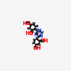 Oc1ccc(-c2ncnc(-c3ccc(O)cc3O)n2)c(O)c1